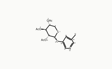 CC(=O)O[C@@H]1[C@@H](OC(C)=O)[C@H](OC(C)=O)CS[C@H]1Oc1cncc(C)c1